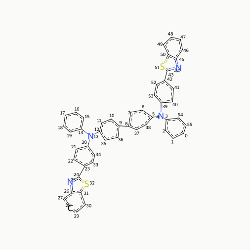 c1ccc(N(c2ccc(-c3ccc(N(c4ccccc4)c4ccc(-c5nc6ccccc6s5)cc4)cc3)cc2)c2ccc(-c3nc4ccccc4s3)cc2)cc1